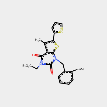 CCOC(=O)Cn1c(=O)c2c(C)c(-c3cccs3)sc2n(Cc2ccccc2SC)c1=O